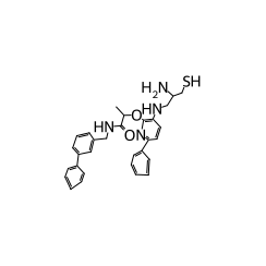 CC(Oc1nc(-c2ccccc2)ccc1NCC(N)CS)C(=O)NCc1cccc(-c2ccccc2)c1